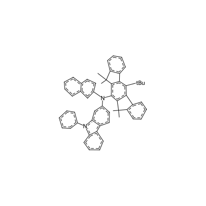 CC(C)(C)c1c2c(c(N(c3ccc4ccccc4c3)c3ccc4c5ccccc5n(-c5ccccc5)c4c3)c3c1-c1ccccc1C3(C)C)C(C)(C)c1ccccc1-2